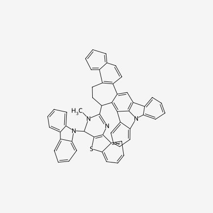 CN1C(C2CCc3c(ccc4ccccc34)-c3cc4c5ccccc5n5c6ccccc6c(c32)c45)=Nc2c(sc3ccccc23)C1n1c2ccccc2c2ccccc21